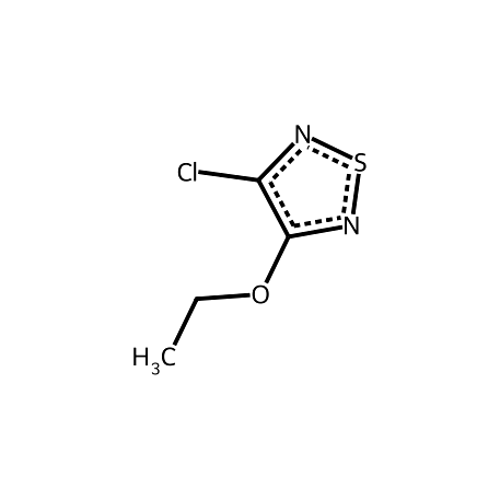 CCOc1nsnc1Cl